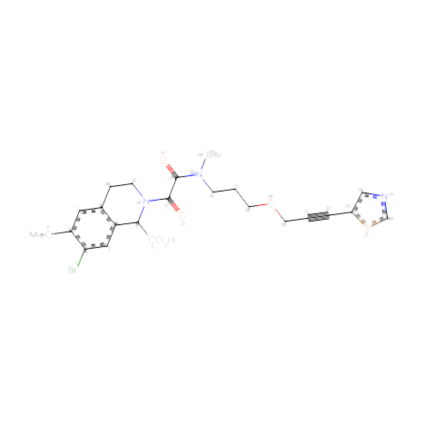 COc1cc2c(cc1Br)C(C(=O)O)N(C(=O)C(=O)N(CCCOCC#Cc1cncs1)C(C)(C)C)CC2